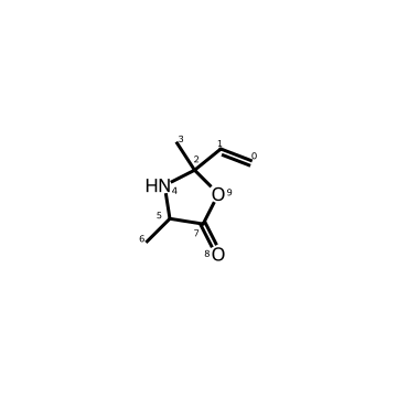 C=CC1(C)NC(C)C(=O)O1